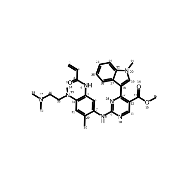 C=CC(=O)Nc1cc(Nc2ncc(C(=O)OC)c(-c3cn(C)c4ccccc34)n2)c(C)cc1N(C)CCN(C)C